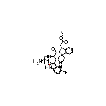 CCOC(=O)C[C@H]1c2ccccc2C2(CCNCC2)[C@@H]1C(=O)[C@@H](Cc1c[nH]c2ccc(F)cc12)NC(=O)C(C)(C)N